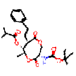 CC(C)C(=O)O[C@H]1[C@H](C)OC(=O)[C@@H](NC(=O)OC(C)(C)C)COC(=O)[C@@H]1CCc1ccccc1